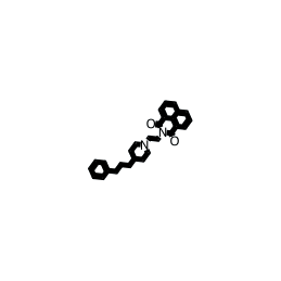 O=C1c2cccc3cccc(c23)C(=O)N1CCN1CCC(CCCc2ccccc2)CC1